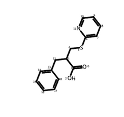 O=C(O)C(CSc1ccccn1)Cc1ccccc1